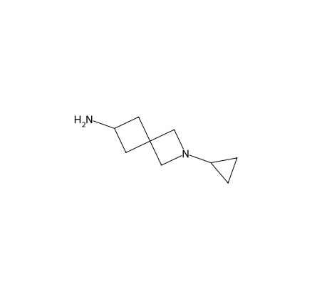 NC1CC2(C1)CN(C1CC1)C2